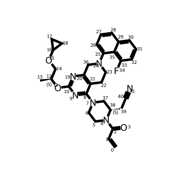 C=CC(=O)N1CCN(c2nc(O[C@@H](C)COC3CC3)nc3c2CCN(c2cccc4cccc(F)c24)C3)C[C@@H]1CC#N